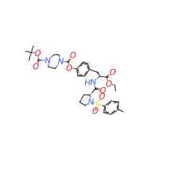 CCOC(=O)[C@H](Cc1ccc(OC(=O)N2CCN(C(=O)OC(C)(C)C)CC2)cc1)NC(=O)[C@@H]1CCCN1S(=O)(=O)c1ccc(C)cc1